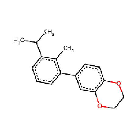 Cc1c(-c2ccc3c(c2)OCCO3)cccc1C(C)C